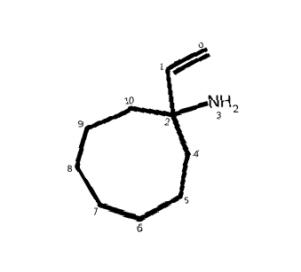 C=CC1(N)CCCCCCC1